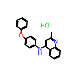 Cc1cc(Nc2ccc(Oc3ccccc3)cc2)c2ccccc2n1.Cl